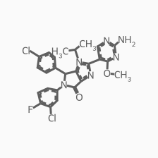 COc1nc(N)ncc1-c1nc2c(n1C(C)C)C(c1ccc(Cl)cc1)N(c1ccc(F)c(Cl)c1)C2=O